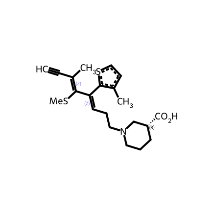 C#C/C(C)=C(SC)/C(=C/CCN1CCC[C@@H](C(=O)O)C1)c1sccc1C